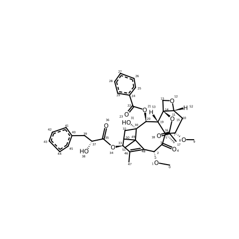 CO[C@H]1C(=O)[C@]2(C)[C@@H](OC)C[C@H]3OC[C@@]3(OC(C)=O)[C@H]2[C@H](OC(=O)c2ccccc2)[C@]2(O)C[C@H](OC(=O)[C@H](O)Cc3ccccc3)C(C)=C1C2(C)C